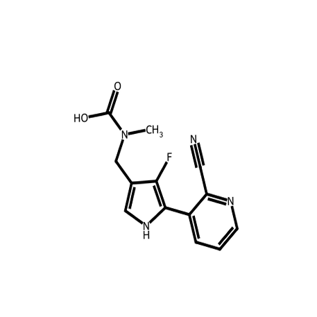 CN(Cc1c[nH]c(-c2cccnc2C#N)c1F)C(=O)O